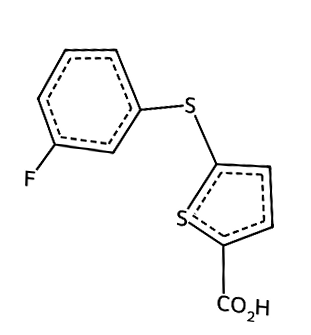 O=C(O)c1ccc(Sc2cccc(F)c2)s1